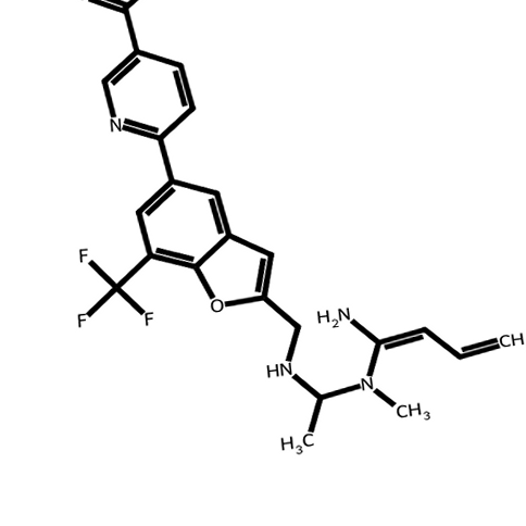 C=C/C=C(/N)N(C)C(C)NCc1cc2cc(-c3ccc(C(=O)O)cn3)cc(C(F)(F)F)c2o1